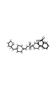 O=c1[nH]c2c(c3ccccc13)CCN(S(=O)(=O)CCN1CCN(CC3CCCO3)CC1)C2